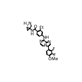 CCc1cc(Nc2nccn3c(-c4ccc(OC)c(F)c4F)cnc23)ccc1C(=O)NC1(CN)CC1